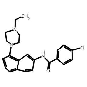 CCN1CCN(c2cccc3ccc(NC(=O)c4ccc(Cl)cc4)cc23)CC1